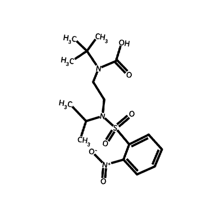 CC(C)N(CCN(C(=O)O)C(C)(C)C)S(=O)(=O)c1ccccc1[N+](=O)[O-]